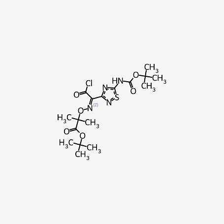 CC(C)(C)OC(=O)Nc1nc(/C(=N/OC(C)(C)C(=O)OC(C)(C)C)C(=O)Cl)ns1